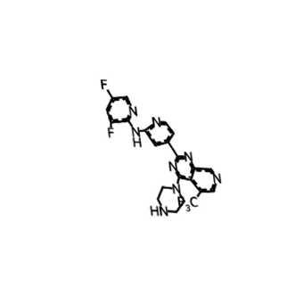 Fc1cnc(Nc2cc(-c3nc(N4CCNCC4)c4c(C(F)(F)F)cncc4n3)ccn2)c(F)c1